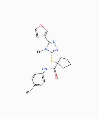 CCn1c(SC2(C(=O)Nc3ccc(C(C)C)cc3)CCCC2)nnc1-c1ccoc1